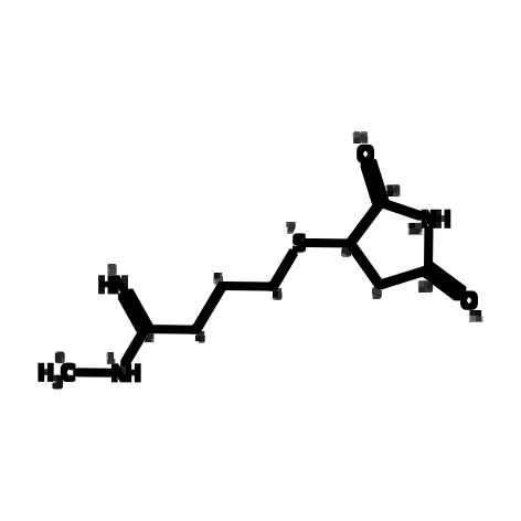 CNC(=N)CCCSC1CC(=O)NC1=O